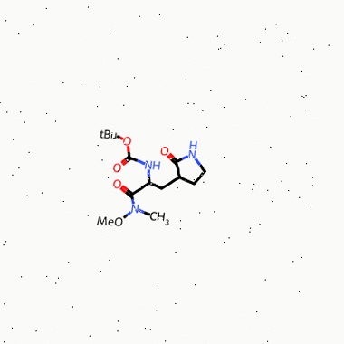 CON(C)C(=O)C(CC1CCNC1=O)NC(=O)OC(C)(C)C